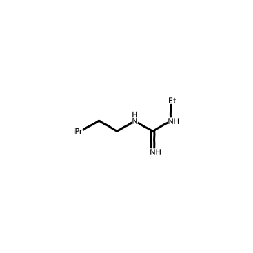 CCNC(=N)NCCC(C)C